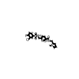 Cn1cccc1CNC(=O)c1ccc(CNS(=O)(=O)c2ccc(F)c(Cl)c2)nc1